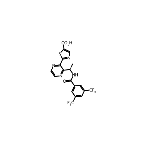 C[C@@H](NC(=O)c1cc(C(F)(F)F)cc(C(F)(F)F)c1)c1nccnc1-c1ncc(C(=O)O)s1